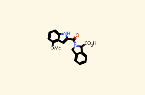 COc1cccc2[nH]c(C(=O)N3Cc4ccccc4C3C(=O)O)cc12